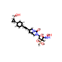 CC(CCN1Cc2cc(C#Cc3ccc([C@H]4C[C@@H]4CO)cc3)cn2C1=O)(C(=O)NO)S(C)(=O)=O